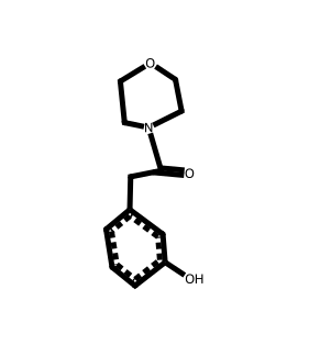 O=C(Cc1cccc(O)c1)N1CCOCC1